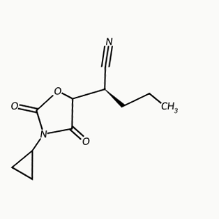 CCC[C@H](C#N)C1OC(=O)N(C2CC2)C1=O